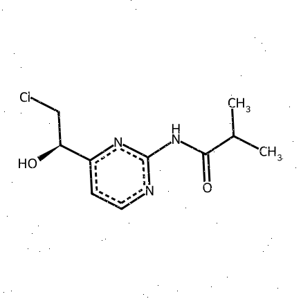 CC(C)C(=O)Nc1nccc([C@@H](O)CCl)n1